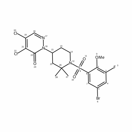 COc1c(F)cc(Br)cc1S(=O)(=O)N1CCC(n2ncc(Cl)c(Cl)c2=O)CC1(C)C